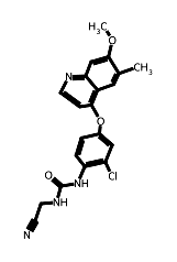 COc1cc2nccc(Oc3ccc(NC(=O)NCC#N)c(Cl)c3)c2cc1C